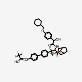 NC1CC2CCC(C1)N2C(=O)C(NC(=O)C(O)c1ccc(OCC2CCCCC2)cc1)C(F)(F)c1ccc(-c2ccc(Cl)cc2)cc1.O=C(O)C(F)(F)F